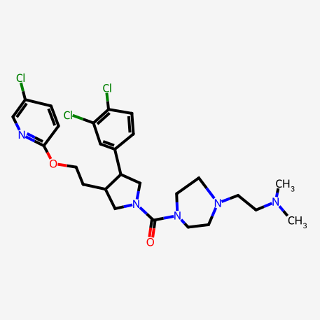 CN(C)CCN1CCN(C(=O)N2CC(CCOc3ccc(Cl)cn3)C(c3ccc(Cl)c(Cl)c3)C2)CC1